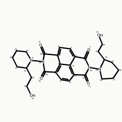 O=C1c2ccc3c4c(ccc(c24)C(=O)N1N1CCCCC1CCO)C(=O)N(N1CCCCC1CCO)C3=O